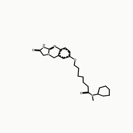 CN(C(=O)CCCCCCOc1ccc2c(c1)CN1CC(=O)NC1=N2)C1CCCCC1